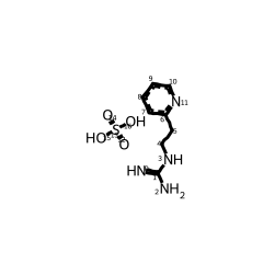 N=C(N)NCCc1ccccn1.O=S(=O)(O)O